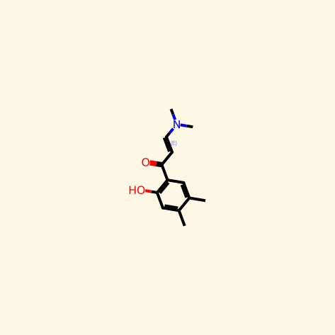 Cc1cc(O)c(C(=O)/C=C/N(C)C)cc1C